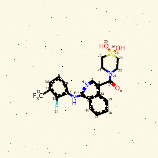 O=C(c1cnc(Nc2cccc(C(F)(F)F)c2F)c2ccccc12)N1CCS(O)(O)CC1